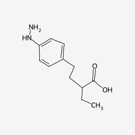 CCC(CCc1ccc(NN)cc1)C(=O)O